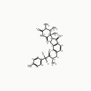 BC1C(=O)NC(=O)[C@@](B)(N2Cc3cc(CN(B)C(=O)C(F)(F)c4ccc(Cl)cc4)ccc3C2=O)C1B